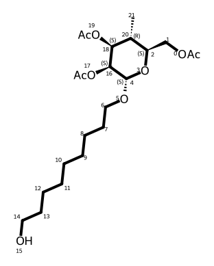 CC(=O)OC[C@H]1O[C@H](OCCCCCCCCCO)[C@@H](OC(C)=O)[C@@H](OC(C)=O)[C@@H]1C